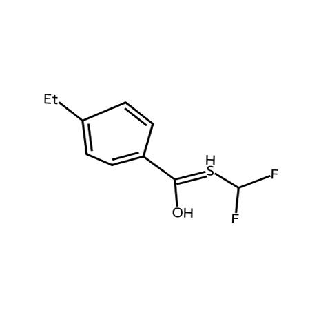 CCc1ccc(C(O)=[SH]C(F)F)cc1